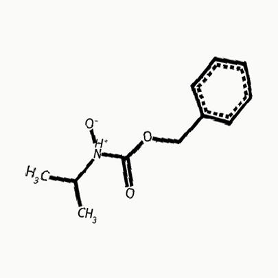 CC(C)[NH+]([O-])C(=O)OCc1ccccc1